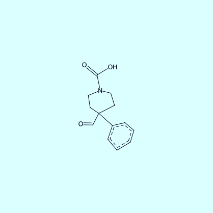 O=CC1(c2ccccc2)CCN(C(=O)O)CC1